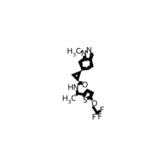 CC(NC(=O)[C@@H]1C[C@H]1c1ccc2cnn(C)c2c1)c1ccc(OCC(F)(F)F)s1